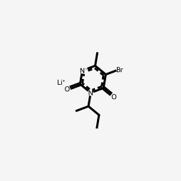 CCC(C)n1c(=O)[n-]c(C)c(Br)c1=O.[Li+]